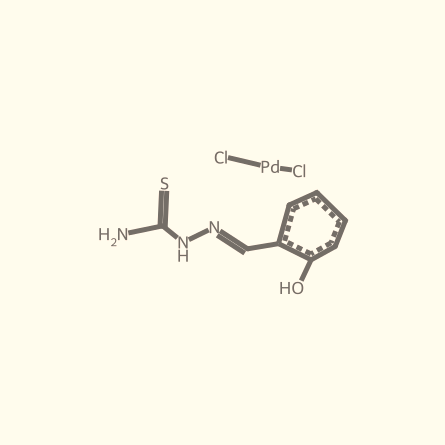 NC(=S)NN=Cc1ccccc1O.[Cl][Pd][Cl]